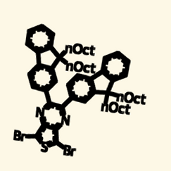 CCCCCCCCC1(CCCCCCCC)c2ccccc2-c2ccc(-c3nc4c(Br)sc(Br)c4nc3-c3ccc4c(c3)C(CCCCCCCC)(CCCCCCCC)c3ccccc3-4)cc21